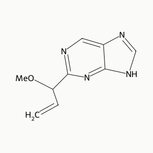 C=CC(OC)c1ncc2nc[nH]c2n1